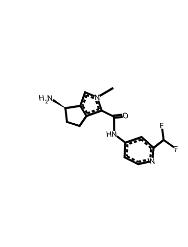 Cn1cc2c(c1C(=O)Nc1ccnc(C(F)F)c1)CC[C@H]2N